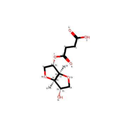 O=C(O)CCC(=O)O[C@H]1CO[C@H]2[C@@H]1OC[C@@H]2O